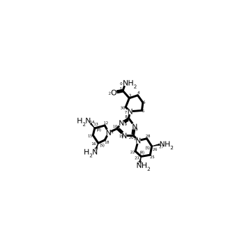 NC(=O)C1CCCN(c2nc(N3C[C@H](N)C[C@H](N)C3)nc(N3C[C@H](N)C[C@H](N)C3)n2)C1